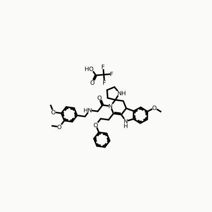 COc1ccc2c(c1)C1CC3(CCCN3)N(C(=O)CNCc3ccc(OC)c(OC)c3)C(CCOc3ccccc3)=C1N2.O=C(O)C(F)(F)F